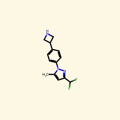 Cc1cc(C(F)F)nn1-c1ccc(C2CNC2)cc1